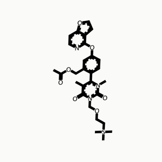 CC(=O)OCc1cc(Oc2nccc3occc23)ccc1-c1c(C)c(=O)n(COCCS(C)(C)C)c(=O)n1C